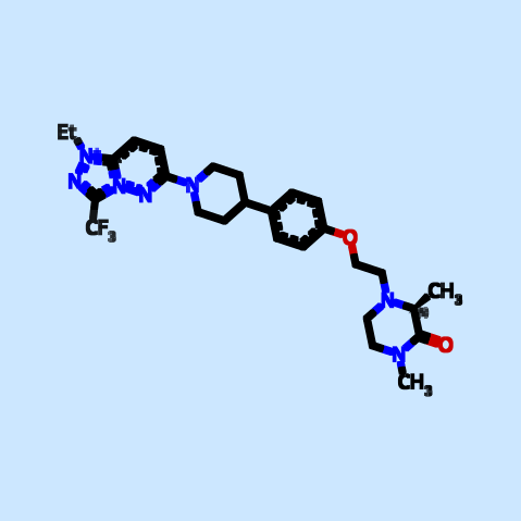 CC[n+]1nc(C(F)(F)F)n2nc(N3CCC(c4ccc(OCCN5CCN(C)C(=O)[C@@H]5C)cc4)CC3)ccc21